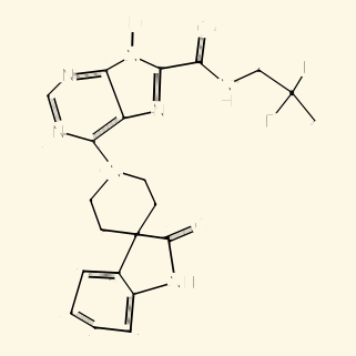 CCn1c(C(=O)NCC(C)(F)F)nc2c(N3CCC4(CC3)C(=O)Nc3ccccc34)ncnc21